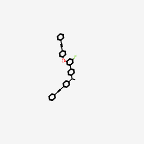 CC(c1ccc(C#Cc2ccccc2)cc1)c1ccc(-c2cc(F)cc(Oc3ccc(C#Cc4ccccc4)cc3)c2)cc1